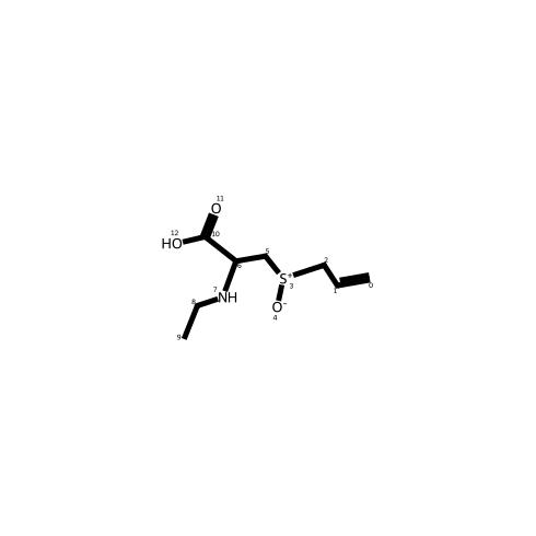 C=CC[S+]([O-])CC(NCC)C(=O)O